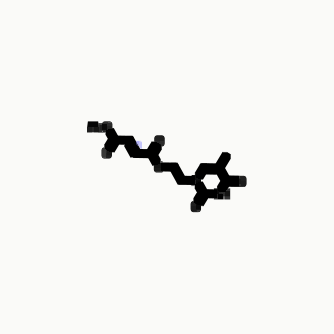 COC(=O)/C=C/C(=O)OCCn1cc(C)c(=O)[nH]c1=O